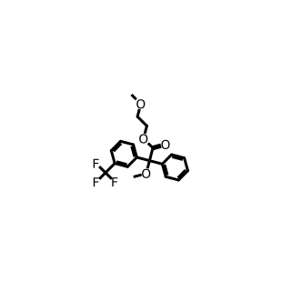 COCCOC(=O)C(OC)(c1ccccc1)c1cccc(C(F)(F)F)c1